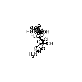 C#CC1(Cl)C(O)[C@@H]([C@@H](C)OP(=O)(O)OP(=O)(O)OP(=O)(O)O)O[C@H]1n1cnc(N)nc1=O